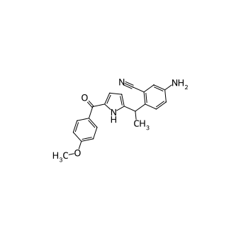 COc1ccc(C(=O)c2ccc(C(C)c3ccc(N)cc3C#N)[nH]2)cc1